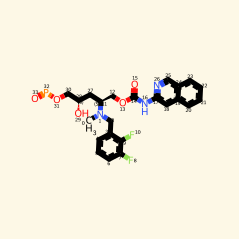 CN(Cc1cccc(F)c1F)[C@H](COC(=O)Nc1cc2ccccc2cn1)C[C@H](O)COP=O